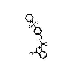 O=C(NCc1ccc(S(=O)(=O)N2CCCCC2)cc1)n1cc(Cl)c2ccccc21